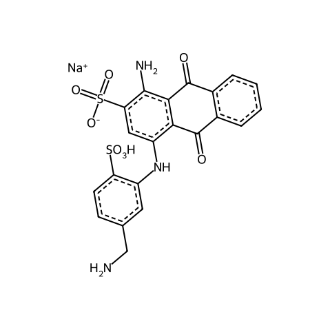 NCc1ccc(S(=O)(=O)O)c(Nc2cc(S(=O)(=O)[O-])c(N)c3c2C(=O)c2ccccc2C3=O)c1.[Na+]